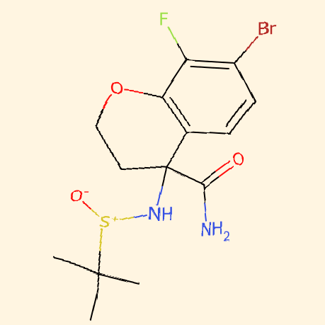 CC(C)(C)[S+]([O-])NC1(C(N)=O)CCOc2c1ccc(Br)c2F